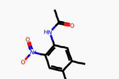 CC(=O)Nc1cc(C)c(C)cc1[N+](=O)[O-]